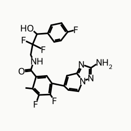 Cc1c(C(=O)NCC(F)(F)C(O)c2ccc(F)cc2)cc(-c2ccn3nc(N)nc3c2)c(F)c1F